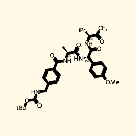 COc1ccc([C@H](NC(=O)[C@H](C)NC(=O)c2ccc(CNC(=O)OC(C)(C)C)cc2)C(=O)N[C@H](C(=O)C(F)(F)F)C(C)C)cc1